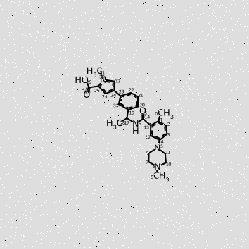 Cc1ccc(N2CCN(C)CC2)cc1C(=O)NC(C)c1cccc(-c2cc(C(=O)O)n(C)c2)c1